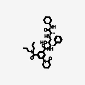 CCCN(CCC)C(=O)c1cc(C(=O)N[C@@H](Cc2ccccc2)[C@H](O)CN[C@@H](C)C(=O)NC2CCCCC2)cc(N2CCCCC2=O)c1